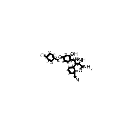 N#Cc1cccc(-c2c(-c3ccc(OCc4ccc(Cl)cc4)cc3O)n[nH]c2C(N)=O)c1